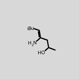 CCC(C)/C=C(\N)CC(C)O